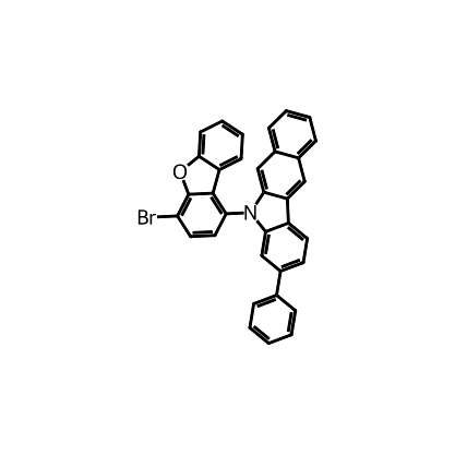 Brc1ccc(-n2c3cc(-c4ccccc4)ccc3c3cc4ccccc4cc32)c2c1oc1ccccc12